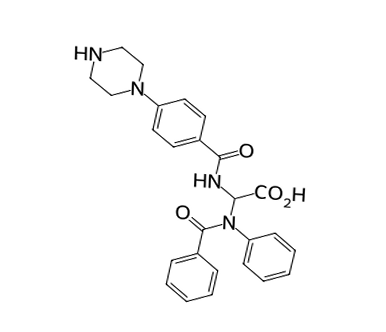 O=C(NC(C(=O)O)N(C(=O)c1ccccc1)c1ccccc1)c1ccc(N2CCNCC2)cc1